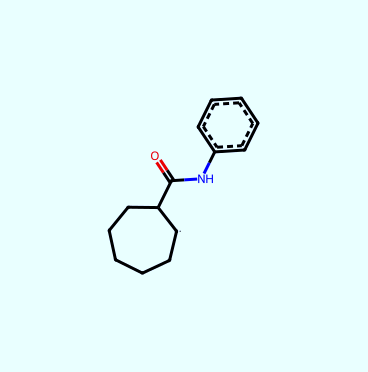 O=C(Nc1ccccc1)C1[CH]CCCCC1